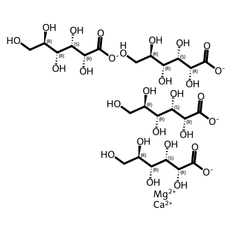 O=C([O-])[C@H](O)[C@@H](O)[C@H](O)[C@H](O)CO.O=C([O-])[C@H](O)[C@@H](O)[C@H](O)[C@H](O)CO.O=C([O-])[C@H](O)[C@@H](O)[C@H](O)[C@H](O)CO.O=C([O-])[C@H](O)[C@@H](O)[C@H](O)[C@H](O)CO.[Ca+2].[Mg+2]